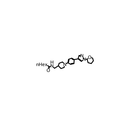 CCCCCCC(=O)NCC1CCN(c2ccc(-c3cnn(C4CCCCO4)c3)cc2)CC1